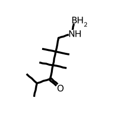 BNCC(C)(C)C(C)(C)C(=O)C(C)C